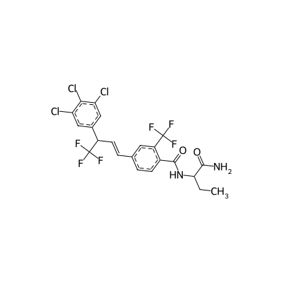 CCC(NC(=O)c1ccc(C=CC(c2cc(Cl)c(Cl)c(Cl)c2)C(F)(F)F)cc1C(F)(F)F)C(N)=O